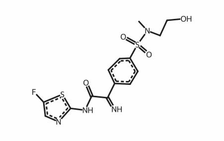 CN(CCO)S(=O)(=O)c1ccc(C(=N)C(=O)Nc2ncc(F)s2)cc1